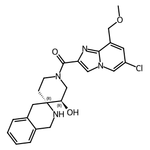 COCc1cc(Cl)cn2cc(C(=O)N3CC[C@]4(Cc5ccccc5CN4)[C@H](O)C3)nc12